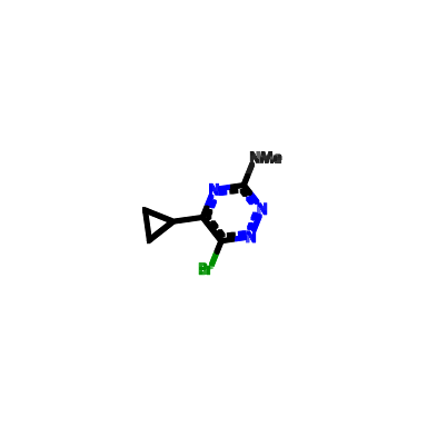 CNc1nnc(Br)c(C2CC2)n1